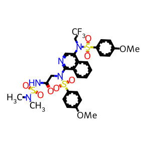 COc1ccc(S(=O)(=O)N(CC(F)(F)F)c2cnc(N(CC(=O)NS(=O)(=O)N(C)C)S(=O)(=O)c3ccc(OC)cc3)c3ccccc23)cc1